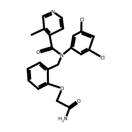 Cc1cnccc1C(=O)N(Cc1ccccc1OCC(N)=O)c1cc(Cl)cc(Cl)c1